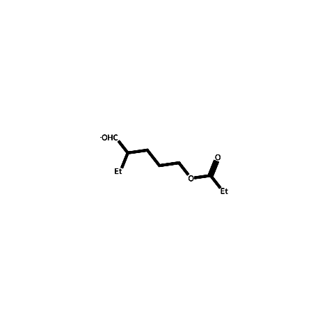 CCC(=O)OCCCC([C]=O)CC